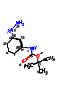 CC(C)(C)OC(=O)N[C@@H]1CCC[C@H](NN)C1